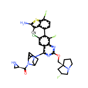 N#Cc1c(N)sc2c(F)ccc(-c3c(Cl)cc4c(N5CC6C7CC(C5)N(C(=O)[C@H]5CN5)C76)nc(OC[C@@]56CCCN5C[C@H](F)C6)nc4c3F)c12